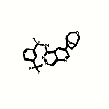 C[C@@H](Nc1nncc2ncc(N3C4CCC3COC4)cc12)c1cccc(C(F)(F)F)c1